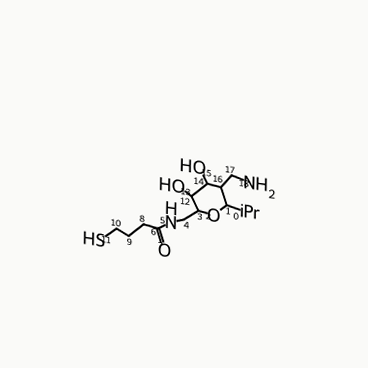 CC(C)C1OC(CNC(=O)CCCS)C(O)C(O)C1CN